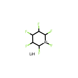 FC1C(F)[CH](F)[Al]([F])[CH](F)C1F.[LiH]